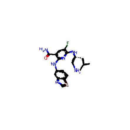 CC(C)C[C@H](CN)Nc1nc(Nc2ccc3scnc3c2)c(C(N)=O)cc1F